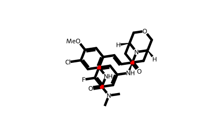 COc1cc(/C=C/C(=O)N2[C@@H]3COC[C@H]2C[C@H](Nc2ccc(F)cc2)C3)c(NC(=O)N(C)C)cc1Cl